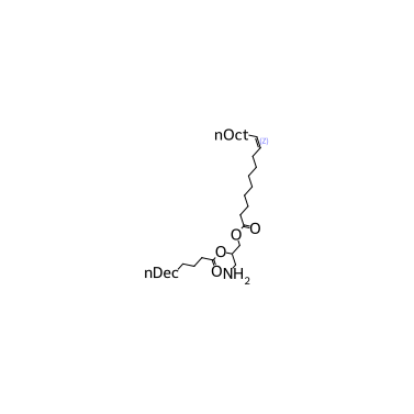 CCCCCCCC/C=C\CCCCCCCC(=O)OCC(CN)OC(=O)CCCCCCCCCCCCC